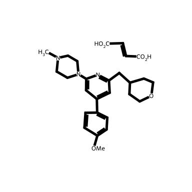 COc1ccc(-c2cc(CC3CCOCC3)nc(N3CCN(C)CC3)c2)cc1.O=C(O)/C=C/C(=O)O